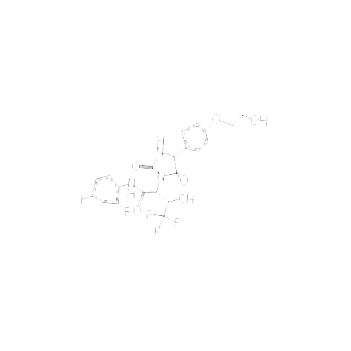 CC(C(C(=O)Nc1ccc(I)cc1F)N1C(=O)NC(c2ccc(OCCO)cc2)C1=O)C(F)(F)F